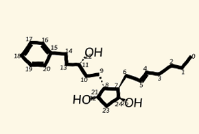 CCCC/C=C/C[C@@H]1[C@@H](CC[C@@H](O)CCc2ccccc2)[C@H](O)C[C@@H]1O